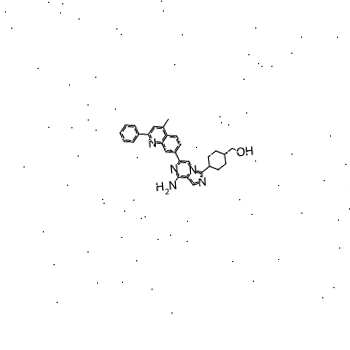 Cc1cc(-c2ccccc2)nc2cc(-c3cn4c(C5CCC(CO)CC5)ncc4c(N)n3)ccc12